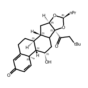 CCC[C@@H]1O[C@@H]2C[C@@H]3C(C[C@H](O)[C@H]4[C@H]3CCC3=CC(=O)C=C[C@@]34C)[C@]2(C(=O)CC(C)(C)C)O1